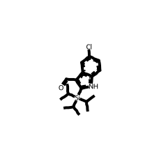 CC(C)[Si](c1[nH]c2ccc(Cl)cc2c1C=O)(C(C)C)C(C)C